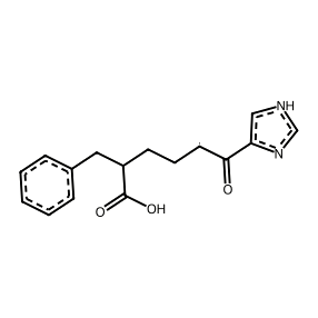 O=C([CH]CCC(Cc1ccccc1)C(=O)O)c1c[nH]cn1